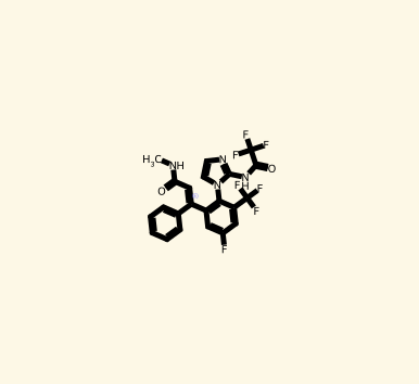 CNC(=O)/C=C(\c1ccccc1)c1cc(F)cc(C(F)(F)F)c1-n1ccnc1NC(=O)C(F)(F)F